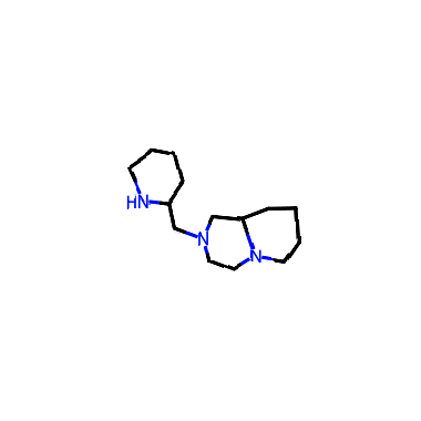 C1CCC(CN2CCN3CCCCC3C2)NC1